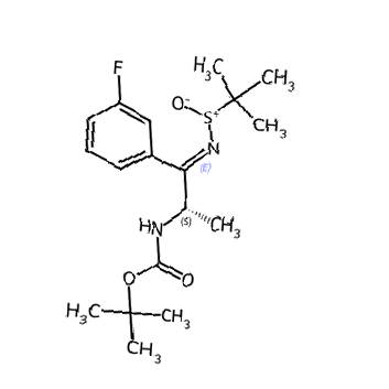 C[C@H](NC(=O)OC(C)(C)C)/C(=N/[S+]([O-])C(C)(C)C)c1cccc(F)c1